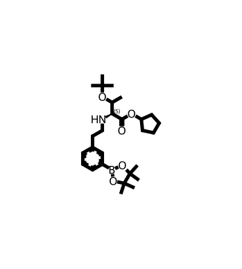 CC(OC(C)(C)C)[C@H](NCCc1cccc(B2OC(C)(C)C(C)(C)O2)c1)C(=O)OC1CCCC1